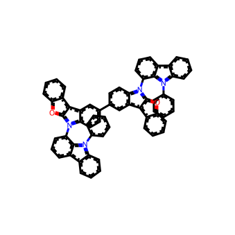 c1ccc(-n2c3ccccc3c3cccc(-n4c5ccc(-c6ccc7c(c6)c6c8ccccc8oc6n7-c6cccc7c8ccccc8n(-c8ccccc8)c67)cc5c5c6ccccc6oc54)c32)cc1